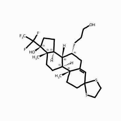 C[C@]12CCC3(C=C1C[C@@H](CCCO)[C@@H]1[C@@H]2CC[C@@]2(C)[C@H]1CC[C@@]2(O)C(F)(F)C(F)(F)F)SCCS3